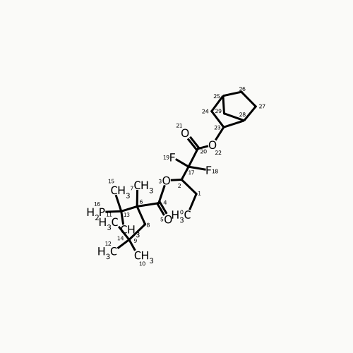 CCC(OC(=O)C(C)(CC(C)(C)C)C(C)(C)P)C(F)(F)C(=O)OC1CC2CCC1C2